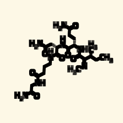 CC[C@H](C)/C(=N/C)C(=O)N[C@@H](CCC(N)=O)C(=O)N[C@@H](CC(N)=O)C(=O)NCCCC(=O)NCC(N)=O